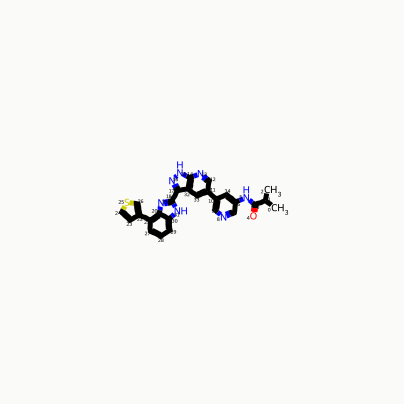 CC(C)C(=O)Nc1cncc(-c2cnc3[nH]nc(-c4nc5c(-c6ccsc6)cccc5[nH]4)c3c2)c1